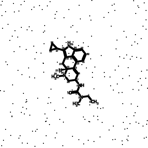 CCN(C)C(=O)NC1C=C2c3cccc4[nH]c(C5CC5)c(c34)C[C@H]2N(C)C1